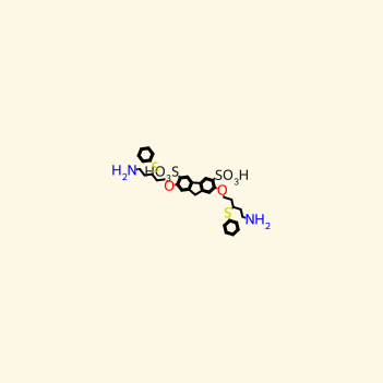 NCCC(CCOc1cc2c(cc1S(=O)(=O)O)-c1cc(S(=O)(=O)O)c(OCCC(CCN)Sc3ccccc3)cc1C2)Sc1ccccc1